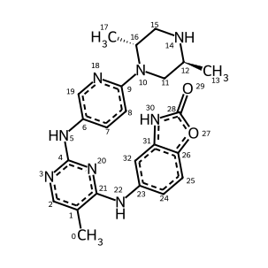 Cc1cnc(Nc2ccc(N3C[C@H](C)NC[C@H]3C)nc2)nc1Nc1ccc2oc(=O)[nH]c2c1